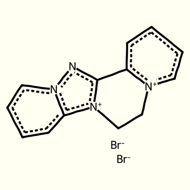 [Br-].[Br-].c1cc[n+]2c(c1)-c1nn3ccccc3[n+]1CC2